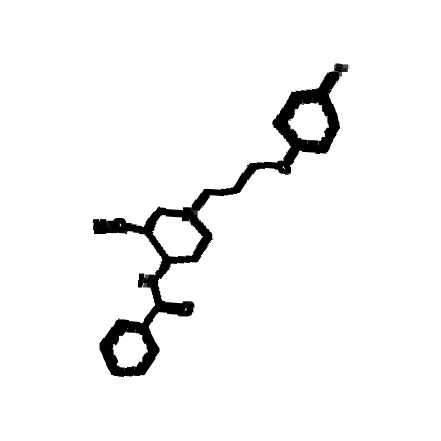 COC1CN(CCCOc2ccc(F)cc2)CCC1NC(=O)c1ccccc1